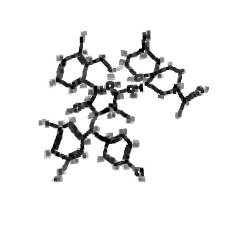 CC(=O)N1CCC2(CC1)CNC[C@@H](CCc1c(F)cccc1NC(=O)[C@H]([C@@H](c1ccc(Cl)cc1)c1cc(F)cc(F)c1)N(C)C(=O)O)O2